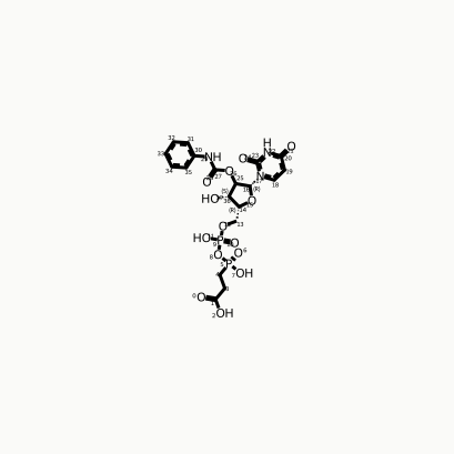 O=C(O)CCP(=O)(O)OP(=O)(O)OC[C@H]1O[C@@H](n2ccc(=O)[nH]c2=O)C(OC(=O)Nc2ccccc2)[C@H]1O